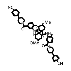 COC1CCC(C(=O)Nc2cc(C(=O)N3CCC(c4ccc(C#N)cc4)CC3)ccc2C)(C2(C(=O)Nc3cc(C(=O)N4CCC(c5ccc(C#N)cc5)CC4)ccc3C)CCC(OC)CC2)CC1